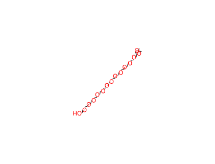 CC1(C)OCC(COCCOCCOCCOCCOCCOCCOCCOCCOCCOCCOCCOCCO)O1